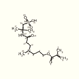 C=C(C)C(=O)OCCCN(C)CCC(=O)NC(C)(C)CS(=O)(=O)O